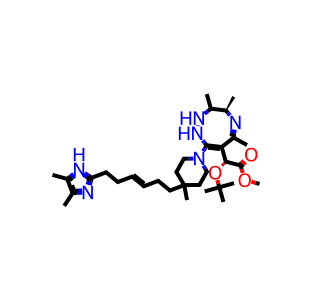 COC(=O)[C@@H](OC(C)(C)C)C1=C(\N2CCC(C)(CC/C=C/CCc3nc(C)c(C)[nH]3)CC2)NNC(C)[C@@H](C)/N=C\1C